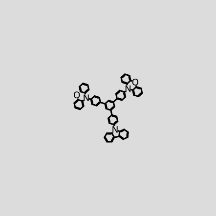 c1ccc2c(c1)Oc1ccccc1N2c1ccc(-c2cc(-c3ccc(N4c5ccccc5Oc5ccccc54)cc3)cc(-c3ccc(-n4c5ccccc5c5ccccc54)cc3)c2)cc1